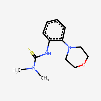 CN(C)C(=S)Nc1ccccc1N1CCOCC1